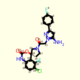 Nc1cc(-c2ccc(F)cc2)nn1CC(=O)N1CC[C@@]2(C1)OC(=O)Nc1ccc(Cl)c(F)c12